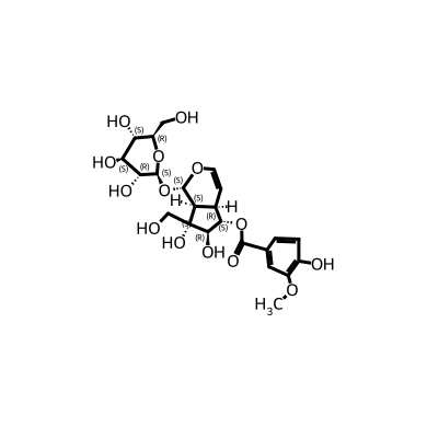 COc1cc(C(=O)O[C@H]2[C@@H]3C=CO[C@@H](O[C@@H]4O[C@H](CO)[C@@H](O)[C@H](O)[C@H]4O)[C@@H]3[C@](O)(CO)[C@@H]2O)ccc1O